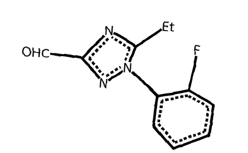 CCc1nc(C=O)nn1-c1ccccc1F